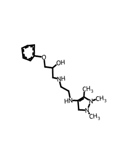 CC1=C(NCCNCC(O)COc2ccccc2)CN(C)N1C